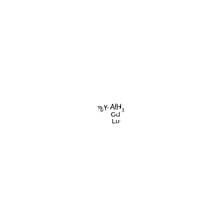 [AlH3].[Gd].[Lu].[Tb].[Y]